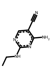 CCNc1ncc(C#N)c(N)n1